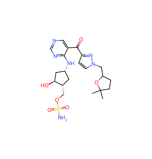 CC1(C)CCC(Cn2ccc(C(=O)c3cncnc3N[C@@H]3C[C@H](COS(N)(=O)=O)[C@@H](O)C3)n2)O1